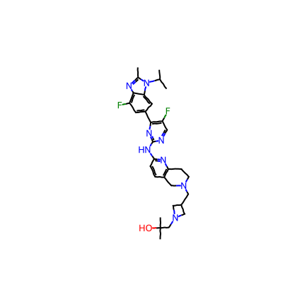 Cc1nc2c(F)cc(-c3nc(Nc4ccc5c(n4)CCN(CC4CN(CC(C)(C)O)C4)C5)ncc3F)cc2n1C(C)C